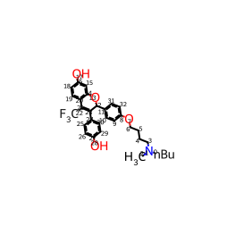 CCCCN(C)CCCCOc1ccc(C2Oc3cc(O)ccc3C(C(F)(F)F)=C2c2ccc(O)cc2)cc1